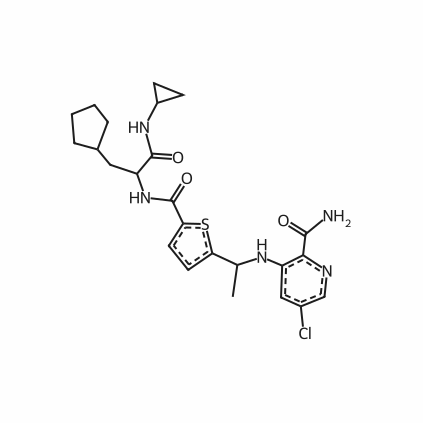 CC(Nc1cc(Cl)cnc1C(N)=O)c1ccc(C(=O)NC(CC2CCCC2)C(=O)NC2CC2)s1